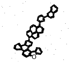 c1cc(-c2ccc3ccccc3c2)cc(-c2ccc3ccc4c(-c5ccc6c(c5)c5ccccc5c5ccc7oc8ccccc8c7c56)ccc5ccc2c3c54)c1